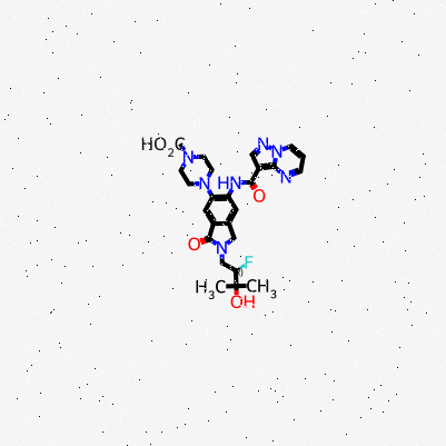 CC(C)(O)[C@H](F)CN1Cc2cc(NC(=O)c3cnn4cccnc34)c(N3CCN(C(=O)O)CC3)cc2C1=O